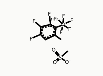 CCC[I+](F)(F)(F)(F)c1c(C)cc(F)c(F)c1F.CS(=O)(=O)[O-]